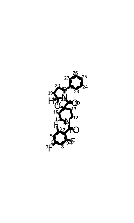 O=C(c1c(F)cc(F)cc1F)N1CCC2(CC1)O[C@@H]1CC[C@@H](c3ccccc3)N1C2=O